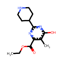 CCOC(=O)c1nc(C2CCNCC2)nc(O)c1C